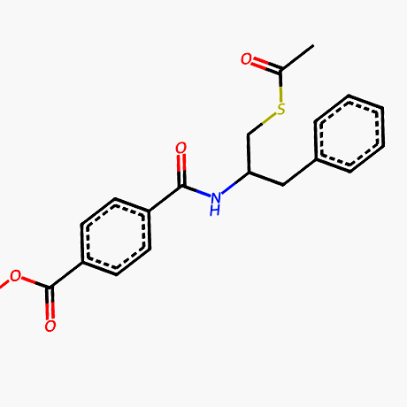 COC(=O)c1ccc(C(=O)NC(CSC(C)=O)Cc2ccccc2)cc1